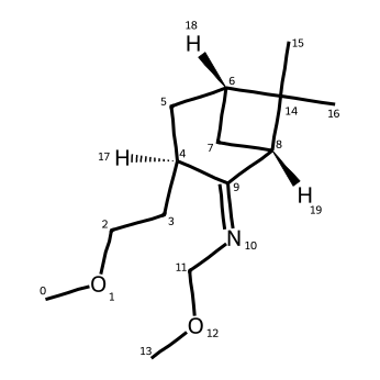 COCC[C@H]1C[C@H]2C[C@@H](/C1=N/COC)C2(C)C